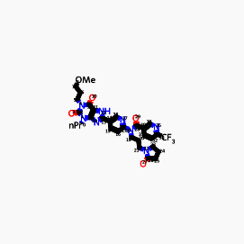 CCCn1c(=O)n(CCCOC)c(=O)c2[nH]c(-c3ccc(N(CCCN4CCCC4=O)C(=O)c4ccc(C(F)(F)F)nc4)nc3)nc21